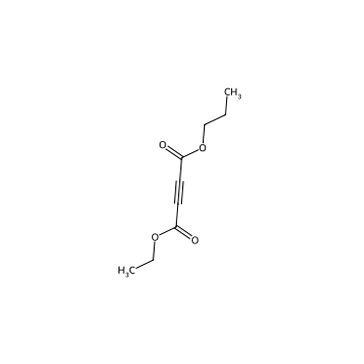 CCCOC(=O)C#CC(=O)OCC